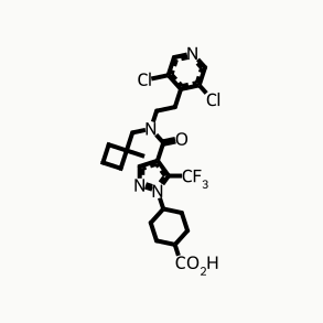 CC1(CN(CCc2c(Cl)cncc2Cl)C(=O)c2cnn(C3CCC(C(=O)O)CC3)c2C(F)(F)F)CCC1